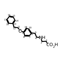 O=C(O)CCNCCc1ccc(OCCc2ccccc2)cc1